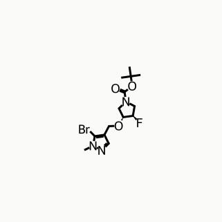 Cn1ncc(CO[C@@H]2CN(C(=O)OC(C)(C)C)C[C@H]2F)c1Br